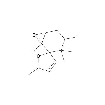 CC1C=CC2(O1)C(C)(C)C(C)CC1OC12C